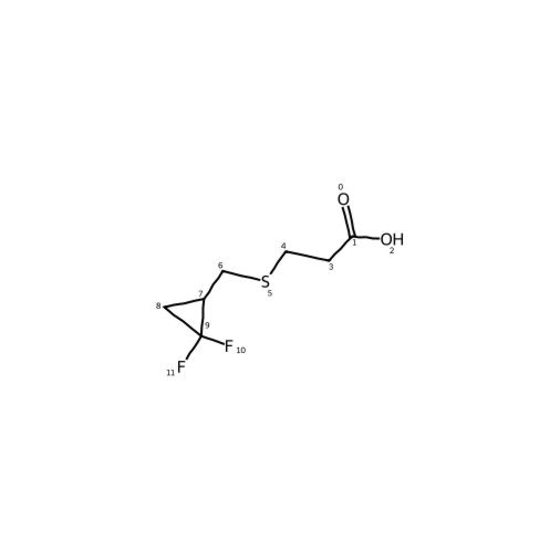 O=C(O)CCSCC1CC1(F)F